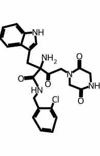 NC(Cc1c[nH]c2ccccc12)(C(=O)CN1CC(=O)NCC1=O)C(=O)NCc1ccccc1Cl